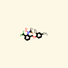 CCC(=S)N(O)c1c(COc2ccc(C)cc2C)cccc1C(F)F